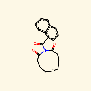 O=C1CCCCCCCC(=O)N1C(=O)c1cccc2ccccc12